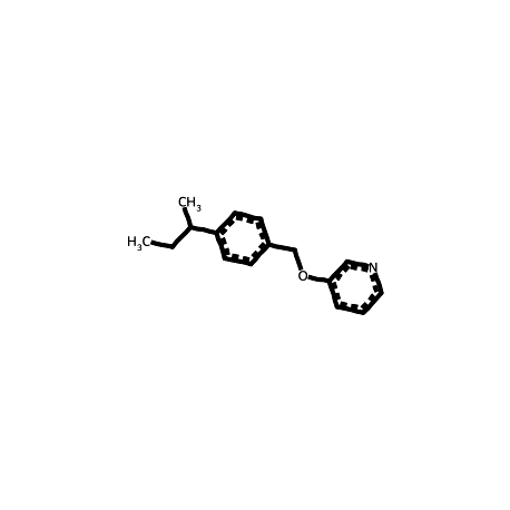 CCC(C)c1ccc(COc2cccnc2)cc1